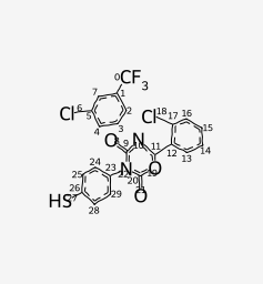 FC(F)(F)c1cccc(Cl)c1.O=c1nc(-c2ccccc2Cl)oc(=O)n1-c1ccc(S)cc1